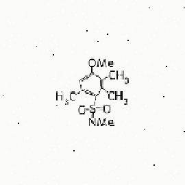 [CH2]NS(=O)(=O)c1c(C)cc(OC)c(C)c1C